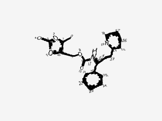 Cc1oc(=O)oc1COC(=O)NC(Cc1ccccn1)c1ccccc1